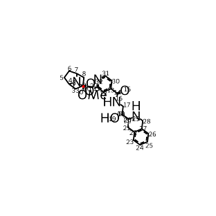 COC(=O)N1C2CCC1CC(Oc1cc(C(=O)NC[C@@H](O)[C@@H]3Cc4ccccc4CN3)ccn1)C2